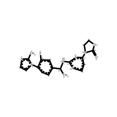 Cc1nccn1-c1ccc(C(C)Nc2nccc(N3CCOC3=O)n2)cc1F